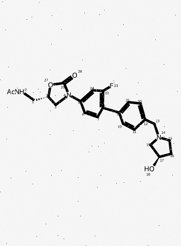 CC(=O)NC[C@H]1CN(c2ccc(-c3ccc(CN4CC[C@@H](O)C4)cc3)c(F)c2)C(=O)O1